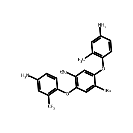 CC(C)(C)c1cc(Oc2ccc(N)cc2C(F)(F)F)c(C(C)(C)C)cc1Oc1ccc(N)cc1C(F)(F)F